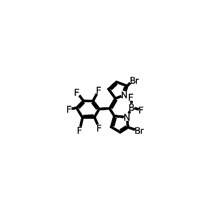 FB(F)n1c(Br)ccc1/C(=C1/C=CC(Br)=N1)c1c(F)c(F)c(F)c(F)c1F